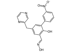 O=[N+]([O-])c1cccc(-c2cc(Cc3cnccn3)cc(/C=N/O)c2O)c1